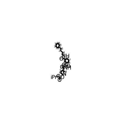 CC(C)OC(=O)Oc1ccc(C(=O)NS(=O)(=O)c2cccc(C(=O)NCCCCc3ccccc3)c2)cn1